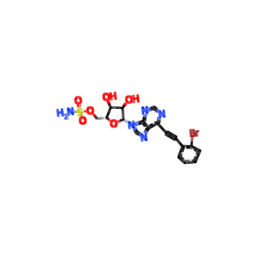 NS(=O)(=O)OC[C@H]1O[C@@H](n2cnc3c(C#Cc4ccccc4Br)ncnc32)[C@H](O)[C@@H]1O